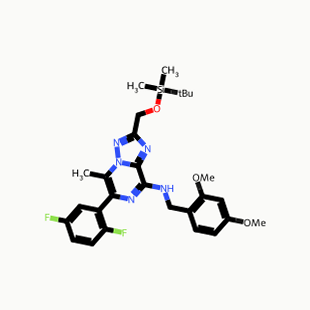 COc1ccc(CNc2nc(-c3cc(F)ccc3F)c(C)n3nc(CO[Si](C)(C)C(C)(C)C)nc23)c(OC)c1